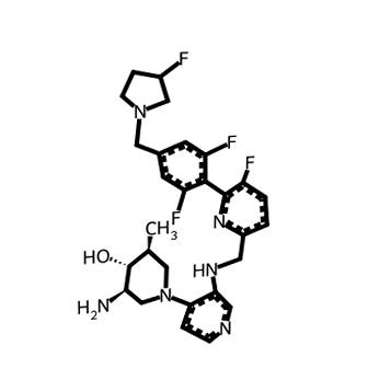 C[C@H]1CN(c2ccncc2NCc2ccc(F)c(-c3c(F)cc(CN4CCC(F)C4)cc3F)n2)C[C@@H](N)[C@@H]1O